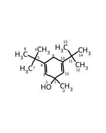 CC1(O)C=C(C(C)(C)C)CC(C(C)(C)C)=C1